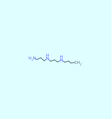 [CH2]CCCNCCCNCCCN